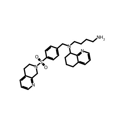 NCCCCN(Cc1ccc(S(=O)(=O)N2CCc3cccnc3C2)cc1)C1CCCc2cccnc21